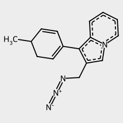 CC1C=CC(c2c(CN=[N+]=[N-])cn3ccccc23)=CC1